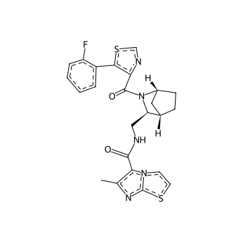 Cc1nc2sccn2c1C(=O)NC[C@@H]1[C@H]2CC[C@H](C2)N1C(=O)c1ncsc1-c1ccccc1F